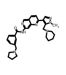 Cn1ncc(-c2ccc3cnc(NC(=O)c4cccc(CN5CCCC5)c4)cc3n2)c1CN1CCCCC1